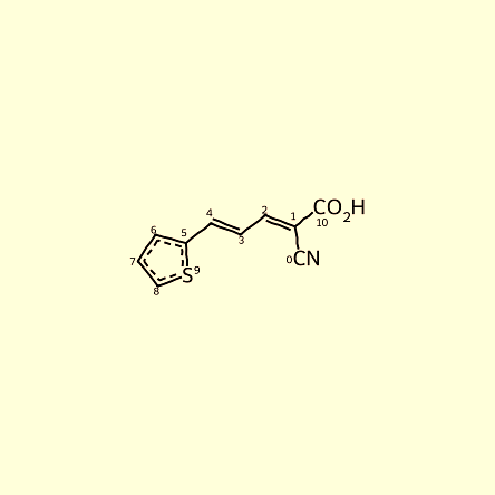 N#C/C(=C\C=C\c1cccs1)C(=O)O